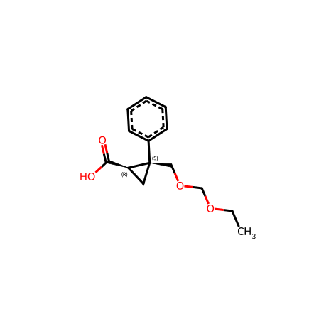 CCOCOC[C@@]1(c2ccccc2)C[C@H]1C(=O)O